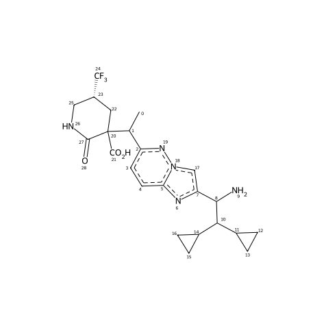 CC(c1ccc2nc(C(N)C(C3CC3)C3CC3)cn2n1)C1(C(=O)O)C[C@@H](C(F)(F)F)CNC1=O